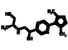 Cc1ccc(C)n1-c1ccc(C(O)CN[C@@H](C)CO)cn1